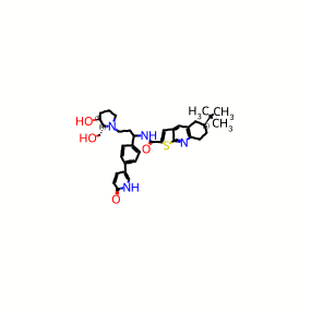 CC(C)(C)[C@H]1CCc2nc3sc(C(=O)NC(CCN4CCC[C@H](O)[C@H]4CO)c4ccc(-c5ccc(=O)[nH]c5)cc4)cc3cc2C1